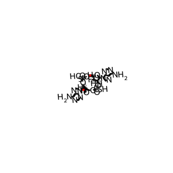 C#S[P@]1(=O)OC[C@H]2O[C@@H](n3cnc4c(N)ncnc43)[C@H](O[P@](=O)(S)OC3O[C@@H](n4cnc5c(N)ncnc54)[C@H](O1)[C@@H]3F)[C@@H]2F